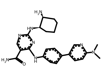 CN(C)c1ccc(-c2ccc(Nc3nc(N[C@@H]4CCCC[C@@H]4N)ncc3C(N)=O)cc2)cn1